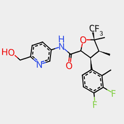 Cc1c([C@H]2C(C(=O)Nc3ccc(CO)nc3)O[C@@](C)(C(F)(F)F)[C@H]2C)ccc(F)c1F